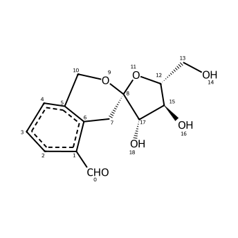 O=Cc1cccc2c1C[C@]1(OC2)O[C@H](CO)[C@@H](O)[C@@H]1O